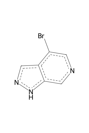 Brc1cncc2[nH]ncc12